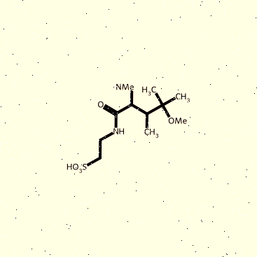 CNC(C(=O)NCCS(=O)(=O)O)C(C)C(C)(C)OC